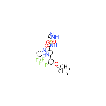 CC(C)COc1cc(F)cc(-c2ccc(C(=O)NS(=O)(=O)c3ccn[nH]3)c(NC3CCCC(C(F)(F)F)C3)n2)c1